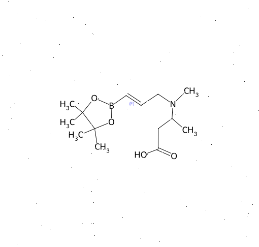 CC(CC(=O)O)N(C)C/C=C/B1OC(C)(C)C(C)(C)O1